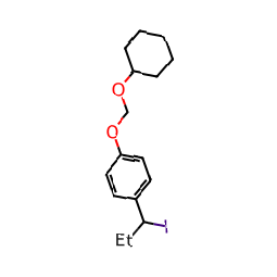 CCC(I)c1ccc(OCOC2CCCCC2)cc1